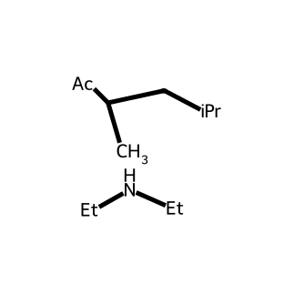 CC(=O)C(C)CC(C)C.CCNCC